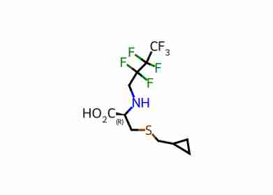 O=C(O)[C@H](CSCC1CC1)NCC(F)(F)C(F)(F)C(F)(F)F